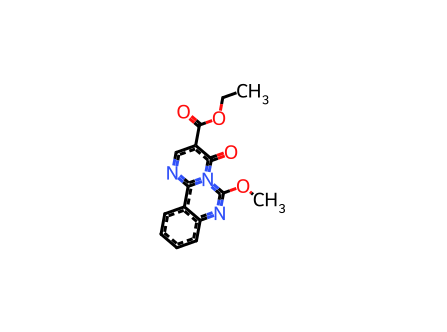 CCOC(=O)c1cnc2c3ccccc3nc(OC)n2c1=O